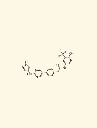 COc1ncc(NC(=O)Cc2ccc(-c3cnc(Nc4cn[nH]c4)nc3)cc2)cc1C(F)(F)F